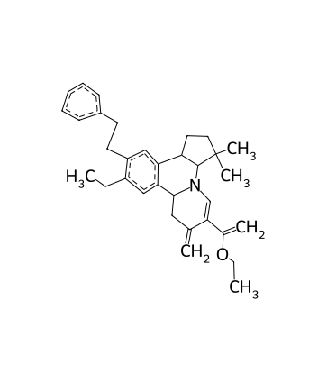 C=C1CC2c3cc(CC)c(CCc4ccccc4)cc3C3CCC(C)(C)C3N2C=C1C(=C)OCC